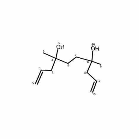 C=CCC(C)(O)CCC(C)(O)CC=C